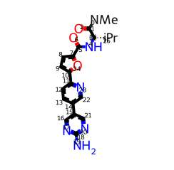 CNC(=O)[C@@H](NC(=O)c1ccc(-c2ccc(-c3cnc(N)nc3)cn2)o1)C(C)C